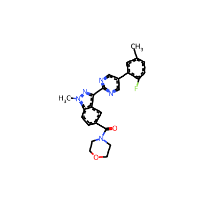 Cc1ccc(F)c(-c2cnc(-c3nn(C)c4ccc(C(=O)N5CCOCC5)cc34)nc2)c1